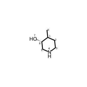 CC1CCNC[C@@H]1O